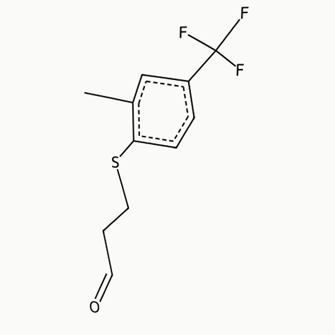 Cc1cc(C(F)(F)F)ccc1SCCC=O